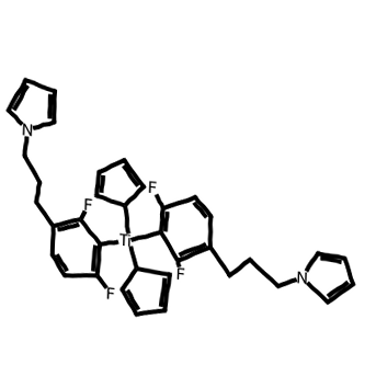 Fc1ccc(CCCn2cccc2)c(F)[c]1[Ti]([c]1c(F)ccc(CCCn2cccc2)c1F)([CH]1C=CC=C1)[CH]1C=CC=C1